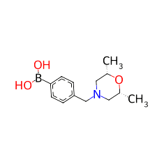 C[C@@H]1CN(Cc2ccc(B(O)O)cc2)C[C@H](C)O1